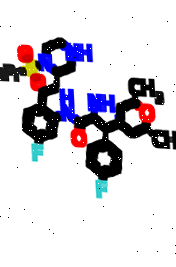 CCCS(=O)(=O)N1CCNC[C@@H]1CCc1ccc(F)cc1NC(=O)[C@@H](N)[C@@H](c1ccc(F)cc1)C1C[C@@H](C)O[C@@H](C)C1